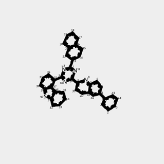 c1ccc(-c2ccc3nc(-c4nc(-c5ccc6ccccc6c5)nc(-c5cccc6sc7ccccc7c56)n4)ccc3c2)cc1